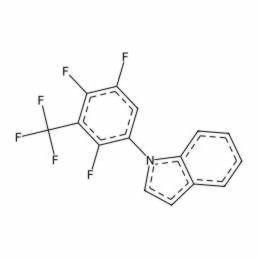 Fc1cc(-n2ccc3ccccc32)c(F)c(C(F)(F)F)c1F